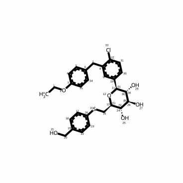 CCOc1ccc(Cc2cc([C@@H]3O[C@H](CSc4ccc(CO)cc4)[C@@H](O)[C@H](O)[C@H]3O)ccc2Cl)cc1